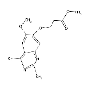 COC(=O)CCOc1cc2nc(C)nc(Cl)c2cc1OC